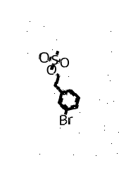 CS(=O)(=O)OCCc1cccc(Br)c1